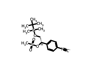 [C-]#[N+]c1ccc([C@@H](CO[Si](C)(C)C(C)(C)C)OS(C)(=O)=O)cc1